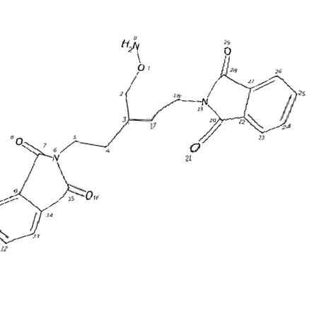 NOC[C](CCN1C(=O)c2ccccc2C1=O)CCN1C(=O)c2ccccc2C1=O